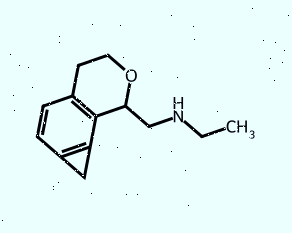 CCNCC1OCCc2ccc3c(c21)C3